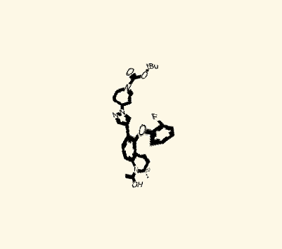 CC(O)N1c2ccc(-c3cnn(C4CCN(C(=O)OC(C)(C)C)CC4)c3)c(Oc3ccccc3F)c2CC[C@@H]1C